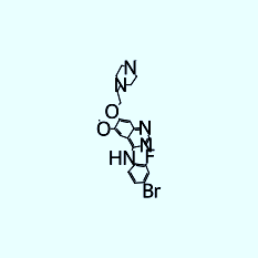 COc1cc2c(Nc3ccc(Br)cc3F)ncnc2cc1OCCN1CCN(C)CC1